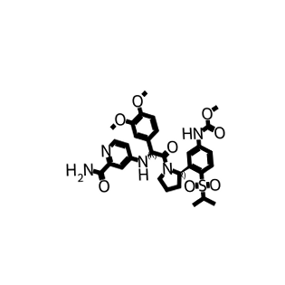 COC(=O)Nc1ccc(S(=O)(=O)C(C)C)c([C@H]2CCCN2C(=O)[C@H](Nc2ccnc(C(N)=O)c2)c2ccc(OC)c(OC)c2)c1